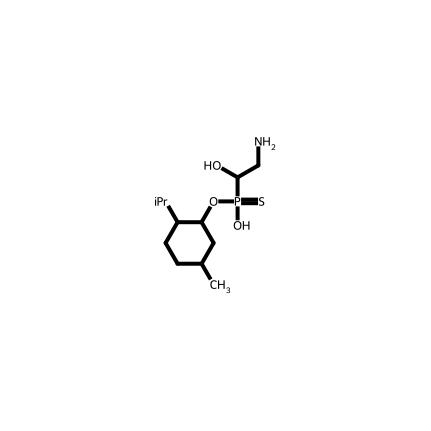 CC1CCC(C(C)C)C(OP(O)(=S)C(O)CN)C1